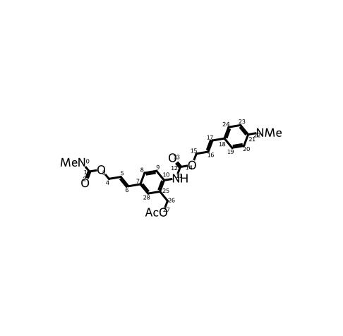 CNC(=O)OC/C=C/c1ccc(NC(=O)OC/C=C/c2ccc(NC)cc2)c(COC(C)=O)c1